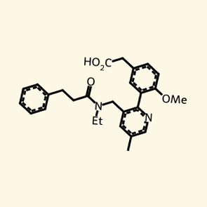 CCN(Cc1cc(C)cnc1-c1cc(CC(=O)O)ccc1OC)C(=O)CCc1ccccc1